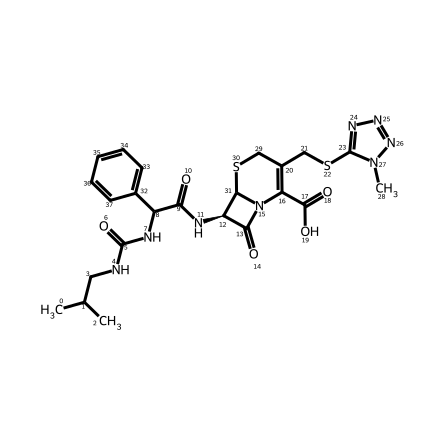 CC(C)CNC(=O)NC(C(=O)N[C@@H]1C(=O)N2C(C(=O)O)=C(CSc3nnnn3C)CSC12)c1ccccc1